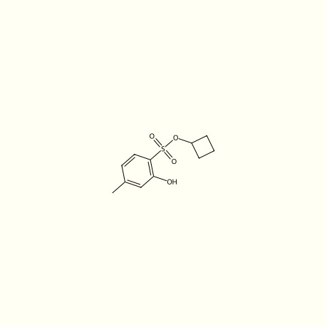 Cc1ccc(S(=O)(=O)OC2CCC2)c(O)c1